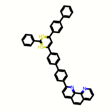 C1=C(c2ccc(-c3ccc(-c4ccc5ccc6cccnc6c5n4)cc3)cc2)[SH]=C(c2ccccc2)[SH]=C1c1ccc(-c2ccccc2)cc1